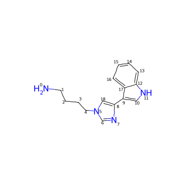 NCCCCn1cnc(-c2c[nH]c3ccccc23)c1